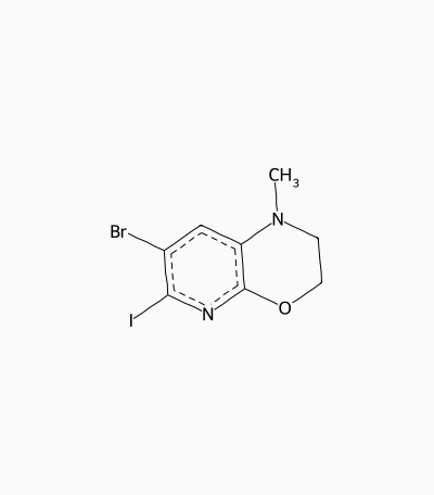 CN1CCOc2nc(I)c(Br)cc21